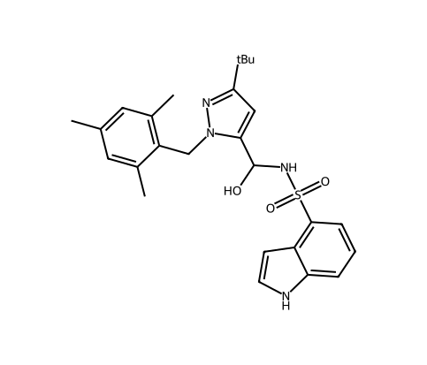 Cc1cc(C)c(Cn2nc(C(C)(C)C)cc2C(O)NS(=O)(=O)c2cccc3[nH]ccc23)c(C)c1